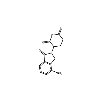 Nc1cccc2c1CN(C1CCC(=O)OC1=O)C2=O